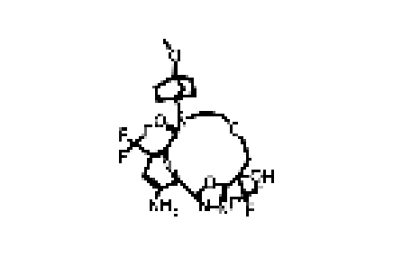 COC12CCC(N3CCCCC[C@](O)(C(F)(F)F)c4nnc(o4)-c4nc(c(C(F)(F)F)cc4N)C3=O)(CC1)C2